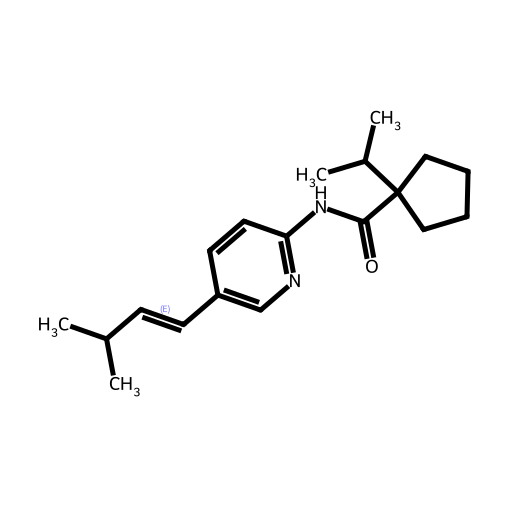 CC(C)/C=C/c1ccc(NC(=O)C2(C(C)C)CCCC2)nc1